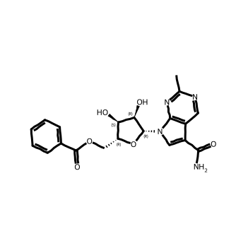 Cc1ncc2c(C(N)=O)cn([C@@H]3O[C@H](COC(=O)c4ccccc4)[C@@H](O)[C@H]3O)c2n1